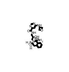 BC1(O)Cc2ccccc2C(B)(B)N1C[C@@H](O)CNC(=O)c1cc(NC2COC2)ncn1